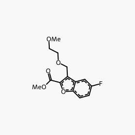 COCCOCc1c(C(=O)OC)oc2ccc(F)cc12